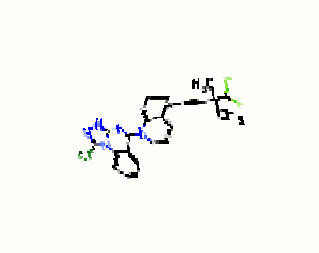 CC(C)(C#Cc1cccc2c1CCCN2c1nc2nnc(Cl)n2c2ccccc12)C(F)F